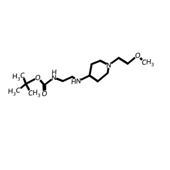 COCCN1CCC(NCCNC(=O)OC(C)(C)C)CC1